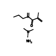 C=C(C)C(=O)NCCC.CN(C)C.N